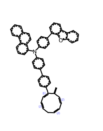 C=C1/C=C\C=C/C/C=C\C=C/1c1ccc(-c2ccc(N(c3ccc(-c4cccc5c4oc4ccccc45)cc3)c3cccc4c3ccc3ccccc34)cc2)cc1